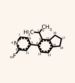 CC(C)c1c(-c2ccnc(F)c2)ccc2c1CCC2